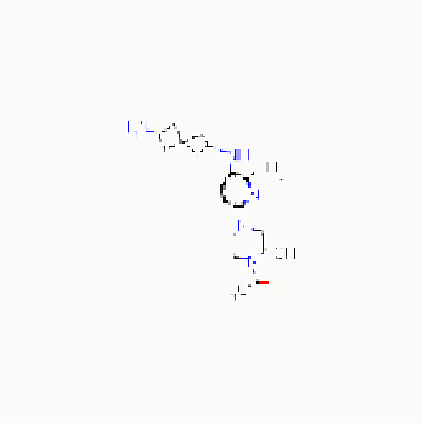 Cc1nc(N2CCN(C(=O)C(F)(F)F)C(C)C2)ccc1NC1CC2(CC(N)C2)C1